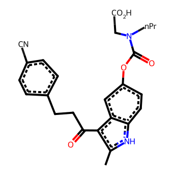 CCCN(CC(=O)O)C(=O)Oc1ccc2[nH]c(C)c(C(=O)CCc3ccc(C#N)cc3)c2c1